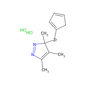 CC1=C(C)[C](C)([Zr][C]2=CC=CC2)N=N1.Cl.Cl